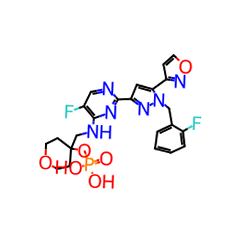 O=P(O)(O)OC1(CNc2nc(-c3cc(-c4ccon4)n(Cc4ccccc4F)n3)ncc2F)CCOCC1